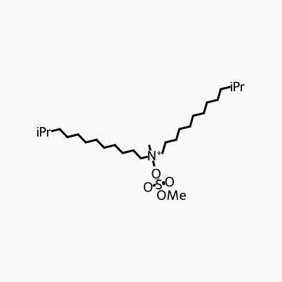 CC(C)CCCCCCCCCC[N+](C)(C)CCCCCCCCCCC(C)C.COS(=O)(=O)[O-]